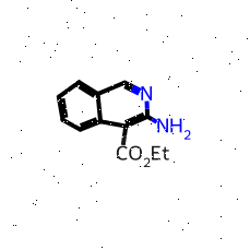 CCOC(=O)c1c(N)ncc2ccccc12